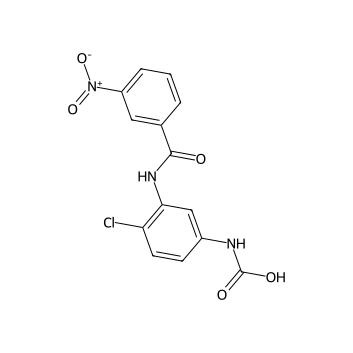 O=C(O)Nc1ccc(Cl)c(NC(=O)c2cccc([N+](=O)[O-])c2)c1